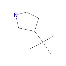 CC(C)(C)C1CC[N]C1